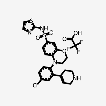 O=C(O)C(F)(F)F.O=S(=O)(Nc1nccs1)c1ccc2c(c1)OCCN2c1ccc(Cl)cc1C1=CCNCC1